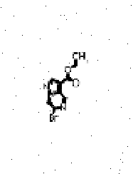 CCOC(=O)c1cnn2cc(Br)ncc12